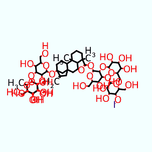 C=C1CC23CCC4C(C)(C(=O)OC5OC(CO)C(O)C(OC6OC(CO)C(OI)C(O)C6O)C5OC5OC(CO)C(O)C(O)C5O)CCCC4(C)C2CCC1(OC1OC(CO)C(O)C(OC2OC(CO)C(O)C(O)C2O)C1OC1OC(C)C(O)C(O)C1O)C3